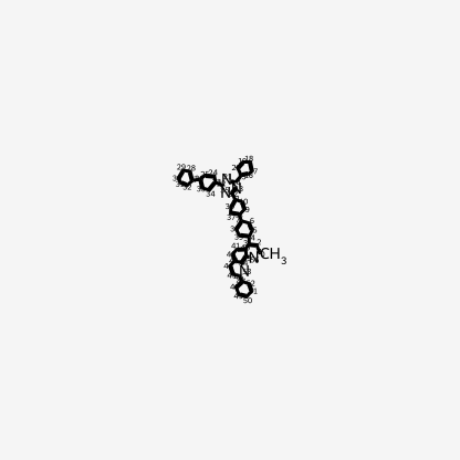 Cc1cc(-c2ccc(-c3ccc(-c4nc(-c5ccccc5)nc(-c5ccc(-c6ccccc6)cc5)n4)cc3)cc2)c2ccc3ccc(-c4ccccc4)nc3c2n1